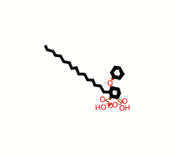 CCCCCCCCCCCCCCCCc1c(Oc2ccccc2)ccc(S(=O)(=O)O)c1S(=O)(=O)O